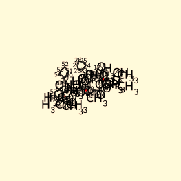 CC[Si](CC)(CC)OC1C[C@H]2OC[C@@]2(OC(C)=O)[C@H]2[C@H](OC(=O)c3ccccc3)[C@]3(O)C[C@H](OC(=O)[C@H](O[Si](C)(C)C(C)(C)C)[C@@H](NC(=O)c4ccccc4)c4ccccc4)C(C)=C(C(=O)C(=O)[C@]12C)C3(C)C